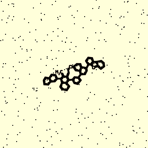 C=C/C=c1/c(-c2cccc(-c3ccc(-c4cccc5c4oc4ccccc45)c4ccccc34)c2)c2ccccc2c(-c2ccc3ccccc3c2)c1=C